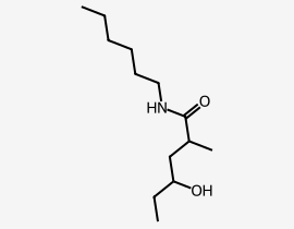 CCCCCCNC(=O)C(C)CC(O)CC